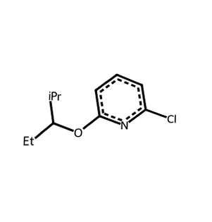 CCC(Oc1cccc(Cl)n1)C(C)C